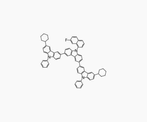 Fc1ccc2cccc(-n3c4ccc(-c5ccc6c(c5)c5cc(C7CCCCC7)ccc5n6-c5ccccc5)cc4c4cc(-c5ccc6c(c5)c5cc(C7CCCCC7)ccc5n6-c5ccccc5)ccc43)c2c1